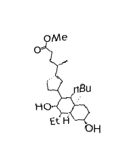 CCCCC1C(C2CC[C@H]([C@H](C)CCC(=O)OC)C2)[C@H](O)[C@H](CC)[C@@H]2C[C@H](O)CC[C@]12C